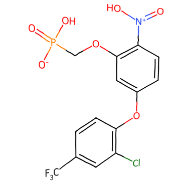 O=[N+](O)c1ccc(Oc2ccc(C(F)(F)F)cc2Cl)cc1OCP(=O)([O-])O